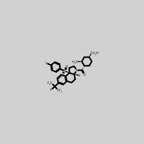 C[C@H]1C[C@@H](C(=O)O)CC[C@@H]1C(=O)N1CC[C@@]2(S(=O)(=O)c3ccc(F)cc3)c3ccc(C(F)(C(F)(F)F)C(F)(F)F)cc3CC[C@@H]12